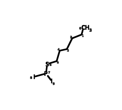 CCCCCCSP(I)I